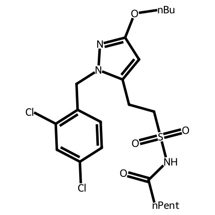 CCCCCC(=O)NS(=O)(=O)CCc1cc(OCCCC)nn1Cc1ccc(Cl)cc1Cl